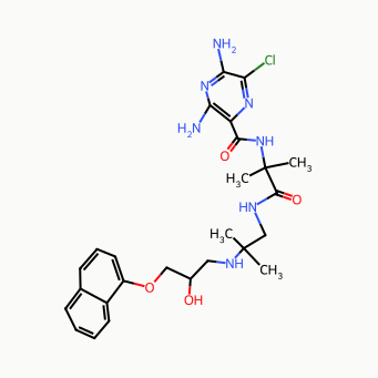 CC(C)(CNC(=O)C(C)(C)NC(=O)c1nc(Cl)c(N)nc1N)NCC(O)COc1cccc2ccccc12